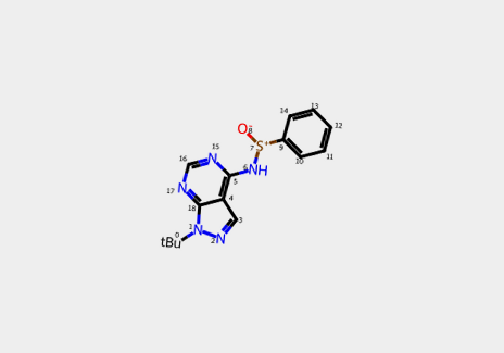 CC(C)(C)n1ncc2c(N[S+]([O-])c3ccccc3)ncnc21